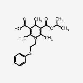 CC1=C(C(=O)O)C(C)C(C(=O)OC(C)C)=C(C)N1CCSc1ccccc1